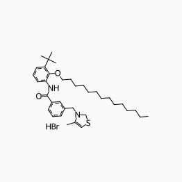 Br.CCCCCCCCCCCCCCOc1c(NC(=O)c2cccc(CN3CSC=C3C)c2)cccc1C(C)(C)C